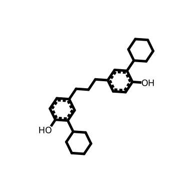 Oc1ccc(CCCc2ccc(O)c(C3CCCCC3)c2)cc1C1CCCCC1